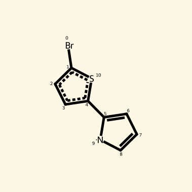 Brc1ccc(C2=CC=C[N]2)s1